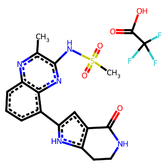 Cc1nc2cccc(-c3cc4c([nH]3)CCNC4=O)c2nc1NS(C)(=O)=O.O=C(O)C(F)(F)F